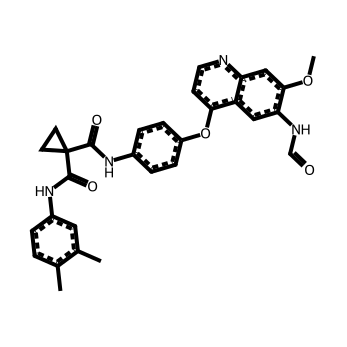 COc1cc2nccc(Oc3ccc(NC(=O)C4(C(=O)Nc5ccc(C)c(C)c5)CC4)cc3)c2cc1NC=O